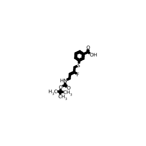 CC(C)(C)OC(=O)NC/C=C(\F)CSc1cccc(C(=O)O)c1